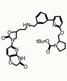 CC(C)(C)OC(=O)N1CCCC1COc1cccc(-c2cccc(CNCCC3CN(c4ccc5c(n4)NC(=O)CO5)C(=O)O3)c2)n1